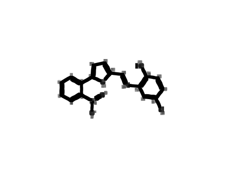 O=[N+]([O-])c1ccccc1-c1ccc(C=Nc2cc(Cl)ccc2O)o1